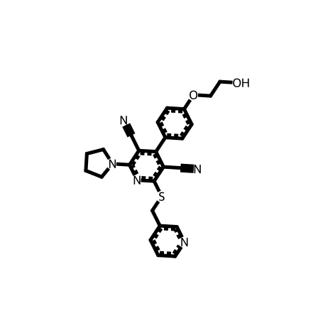 N#Cc1c(SCc2cccnc2)nc(N2CCCC2)c(C#N)c1-c1ccc(OCCO)cc1